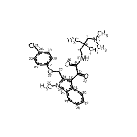 CN(C)CC(C)(C)CNC(=O)C(=O)c1c(COc2ccc(Cl)cc2)n(C)c2ccccc12